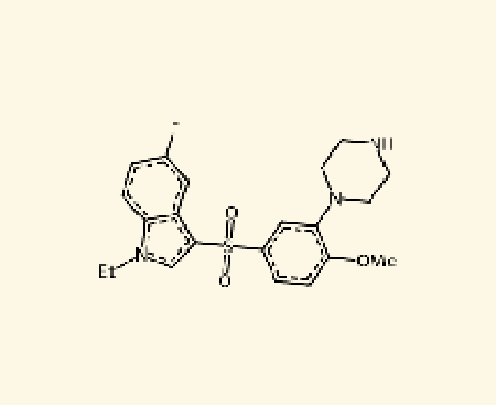 CCn1cc(S(=O)(=O)c2ccc(OC)c(N3CCNCC3)c2)c2cc(F)ccc21